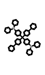 c1ccc(-c2ccc(C(c3ccc(-c4ccccc4)cc3)(c3ccc(N(c4ccccc4)c4ccccc4)cc3)c3ccc(N(c4ccccc4)c4ccccc4)cc3)cc2)cc1